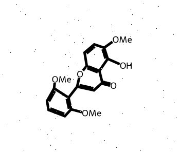 COc1cccc(OC)c1-c1cc(=O)c2c(O)c(OC)ccc2o1